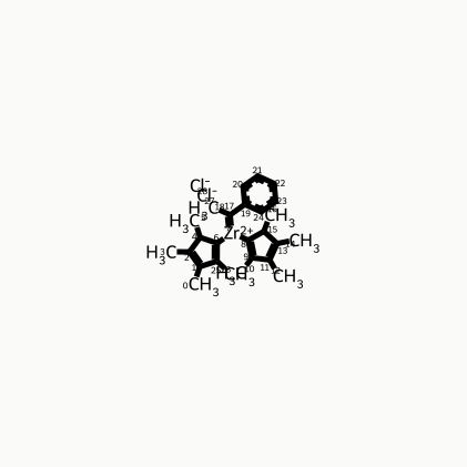 CC1=C(C)C(C)[C]([Zr+2]([C]2=C(C)C(C)=C(C)C2C)=[C](C)c2ccccc2)=C1C.[Cl-].[Cl-]